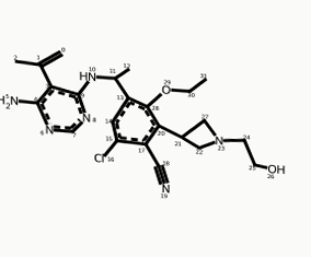 C=C(C)c1c(N)ncnc1NC(C)c1cc(Cl)c(C#N)c(C2CN(CCO)C2)c1OCC